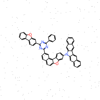 c1ccc(-c2nc(-c3ccc4c(c3)oc3ccccc34)nc(-c3ccc4ccc5oc6cc(-n7c8cc9ccccc9cc8c8cc9ccccc9cc87)ccc6c5c4c3)n2)cc1